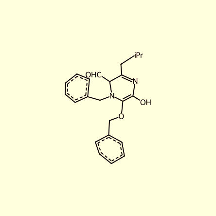 CC(C)CC1=NC(O)=C(OCc2ccccc2)N(Cc2ccccc2)C1C=O